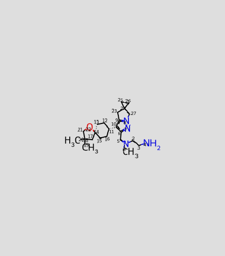 CN(CCN)Cc1nn2c(c1[C@H]1CC[C@]3(CC1)CC(C)(C)CO3)CC1(CC1)C2